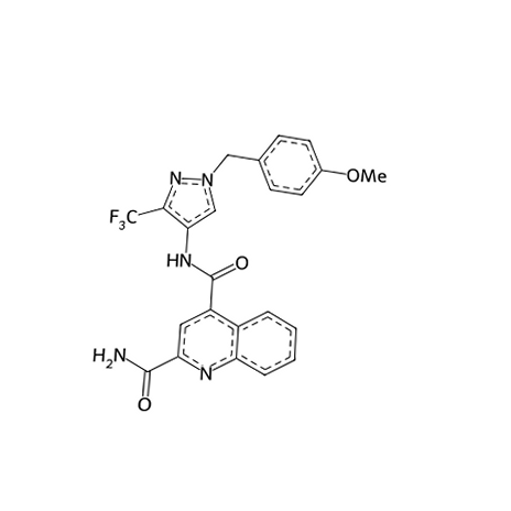 COc1ccc(Cn2cc(NC(=O)c3cc(C(N)=O)nc4ccccc34)c(C(F)(F)F)n2)cc1